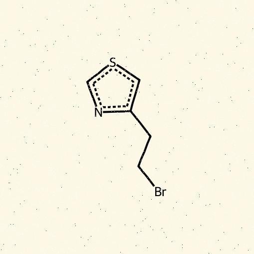 BrCCc1cscn1